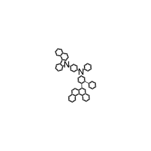 c1ccc(-c2cc(N(c3ccccc3)c3ccc(-n4c5ccccc5c5c6ccccc6ccc54)cc3)ccc2-c2cc3ccccc3c3c2ccc2ccccc23)cc1